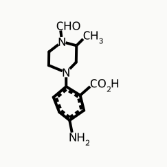 CC1CN(c2ccc(N)cc2C(=O)O)CCN1C=O